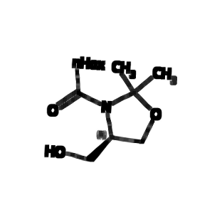 CCCCCCC(=O)N1[C@H](CO)COC1(C)C